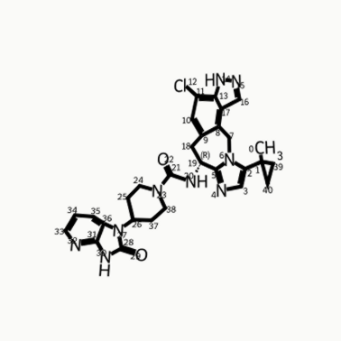 CC1(c2cnc3n2Cc2c(cc(Cl)c4[nH]ncc24)C[C@H]3NC(=O)N2CCC(n3c(=O)[nH]c4ncccc43)CC2)CC1